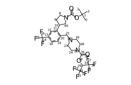 CC(C)(C)OC(=O)N1CCC(c2cc(C(F)(F)F)ccc2CN2CCN(C(=O)OC(C(F)(F)F)C(F)(F)F)CC2)C1